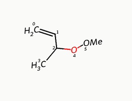 C=CC(C)OOC